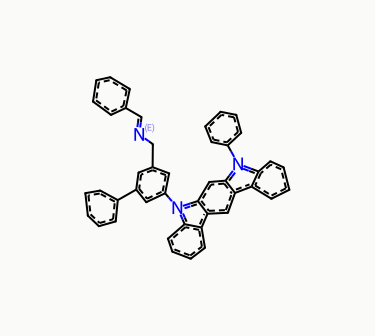 C(=N\Cc1cc(-c2ccccc2)cc(-n2c3ccccc3c3cc4c5ccccc5n(-c5ccccc5)c4cc32)c1)/c1ccccc1